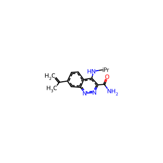 C=C(C)c1ccc2c(NC(C)C)c(C(N)=O)nnc2c1